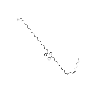 CCCCC/C=C\C/C=C\CCCCCCCC(=O)OC(=O)CCCCCCCCCCCCCCCO